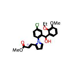 CCOc1c(OC)cccc1C(O)c1cc(Cl)ccc1-n1cccc1/C=C/C(=O)OC